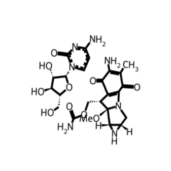 CO[C@@]12[C@H](COC(N)=O)C3=C(C(=O)C(C)=C(N)C3=O)N1C[C@@H]1N[C@@H]12.Nc1ccn([C@@H]2O[C@H](CO)[C@@H](O)[C@@H]2O)c(=O)n1